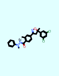 CC(=O)N(C(=O)c1ccc(C2=NOC(C)(c3cc(Cl)cc(Cl)c3)C2)cc1C)N(C)c1ccccc1